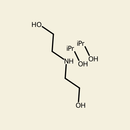 CC(C)O.CC(C)O.OCCNCCO